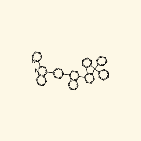 c1ccc(C2(c3ccccc3)c3ccccc3-c3c(-c4ccc(-c5ccc(-c6cc(-c7ccccn7)nc7ccccc67)cc5)c5ccccc45)cccc32)cc1